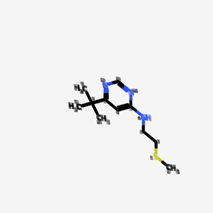 CSCCNc1cc(C(C)(C)C)ncn1